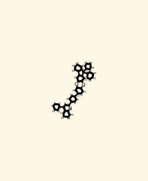 c1ccc(-c2cc(-c3ccc(-c4ccc5c(c4)Oc4cc6c(cc4O5)C(c4ccccc4)(c4ccccc4)c4ccccc4-6)cc3)nc3ccccc23)cc1